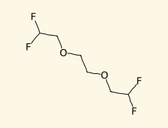 FC(F)COCCOCC(F)F